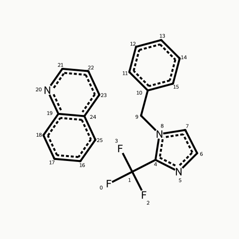 FC(F)(F)c1nccn1Cc1ccccc1.c1ccc2ncccc2c1